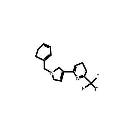 FC(F)(F)C1=NC(C2=CCN(CC3=CC=CCC3)C2)=CCC1